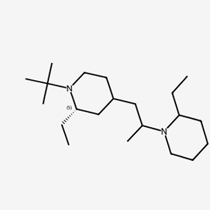 CCC1CCCCN1C(C)CC1CCN(C(C)(C)C)[C@@H](CC)C1